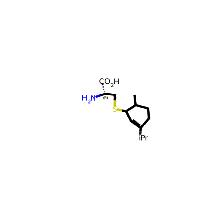 CC(C)C1=CC(SC[C@H](N)C(=O)O)C(C)CC1